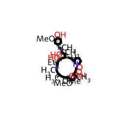 CC[C@@H]1/C=C(\C)C[C@H](C)C[C@H](OC)[C@H]2O[C@@](O)(C(=O)C(=O)N3CCCC[C@H]3CC[C@H]([C@@H](C)[C@H](O)/C(C)=C/[C@@H]3CC[C@@H](O)[C@H](OC)C3)C[C@H]1O)[C@H](C)C[C@@H]2OC